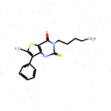 O=C(O)CCCCn1c(=S)[nH]c2c(-c3ccccc3)c(C(F)(F)F)sc2c1=O